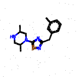 Cc1cccc(Cc2nsc(N3CC(C)NCC3C)n2)c1